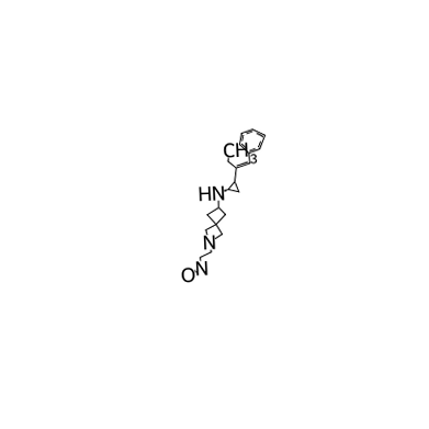 CC/C(=C\c1ccccc1)C1C[C@H]1NC1CC2(C1)CN(CCN=O)C2